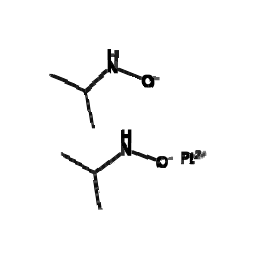 CC(C)N[O-].CC(C)N[O-].[Pt+2]